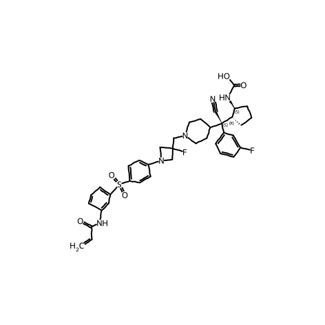 C=CC(=O)Nc1cccc(S(=O)(=O)c2ccc(N3CC(F)(CN4CCC([C@@](C#N)(c5cccc(F)c5)[C@H]5CCC[C@@H]5NC(=O)O)CC4)C3)cc2)c1